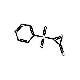 O=c1nc1S(=O)(=O)c1ccccc1